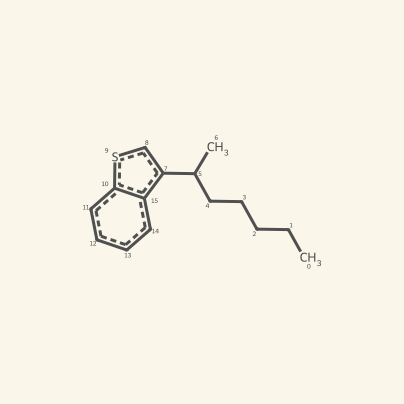 CCCCCC(C)c1csc2ccccc12